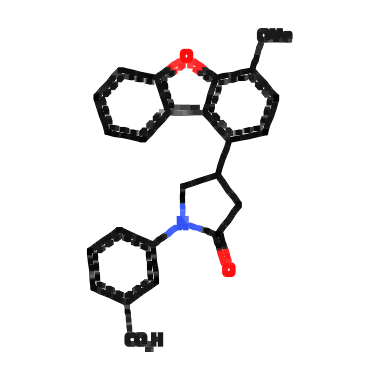 COc1ccc(C2CC(=O)N(c3cccc(C(=O)O)c3)C2)c2c1oc1ccccc12